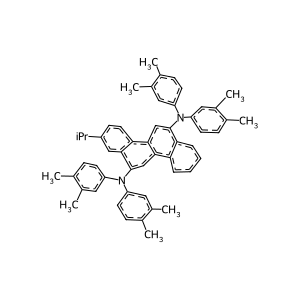 Cc1ccc(N(c2ccc(C)c(C)c2)c2cc3c4ccc(C(C)C)cc4c(N(c4ccc(C)c(C)c4)c4ccc(C)c(C)c4)cc3c3ccccc23)cc1C